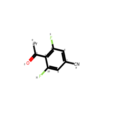 CC(C)C(=O)c1c(F)cc(C#N)cc1F